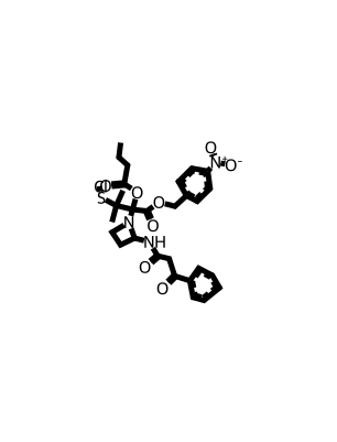 CCCC(=O)OC(C(=O)OCc1ccc([N+](=O)[O-])cc1)(N1CCC1NC(=O)CC(=O)c1ccccc1)C(C)(C)SCl